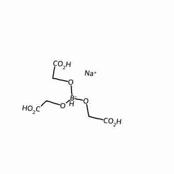 O=C(O)CO[BH-](OCC(=O)O)OCC(=O)O.[Na+]